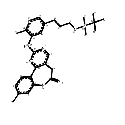 Cc1ccc2c(c1)NC(=S)Cc1cnc(Nc3cc(CCCO[Si](C)(C)C(C)(C)C)cnc3C)nc1-2